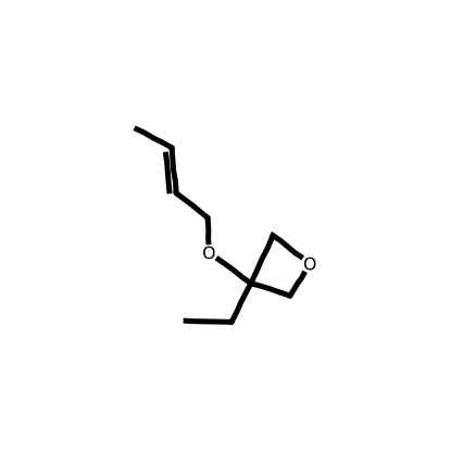 CC=CCOC1(CC)COC1